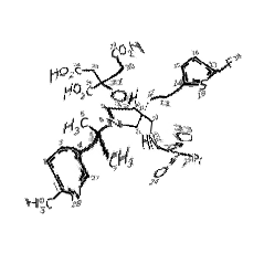 Cc1ccc(C(C)(C)N2CC[C@@](CCc3ccc(F)s3)(CNS(=O)(=O)C(C)C)C2)cn1.O=C(O)CC(O)(CC(=O)O)C(=O)O